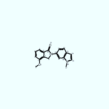 COc1cccc2c1CN(c1ccc3ccn(C)c3c1)C2=O